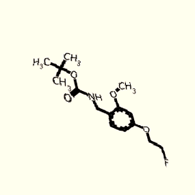 COc1cc(OCCF)ccc1CNC(=O)OC(C)(C)C